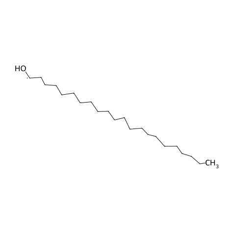 CCCCCCCCCCCCCCCCCCCCC[CH]O